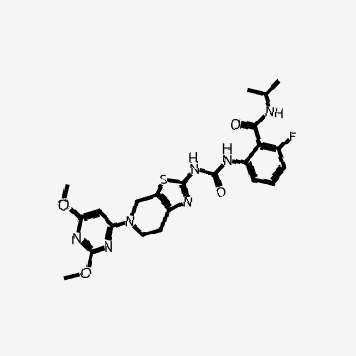 COc1cc(N2CCc3nc(NC(=O)Nc4cccc(F)c4C(=O)NC(C)C)sc3C2)nc(OC)n1